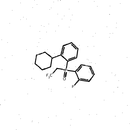 O=P(CC(F)(F)F)(c1ccccc1F)c1ccccc1C1CCCCC1